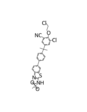 CC(C)(c1ccc(-c2ccc3nc(NS(C)(=O)=O)sc3c2)cc1)c1cc(Cl)c(OCCCl)c(C#N)c1